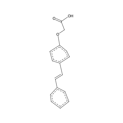 O=C(O)COc1ccc(C=Cc2ccccc2)cc1